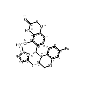 Cn1nnc(C[C@H]2COc3cc(F)ccc3N2Cc2ccc3c(c2Cl)NC(=O)CO3)n1